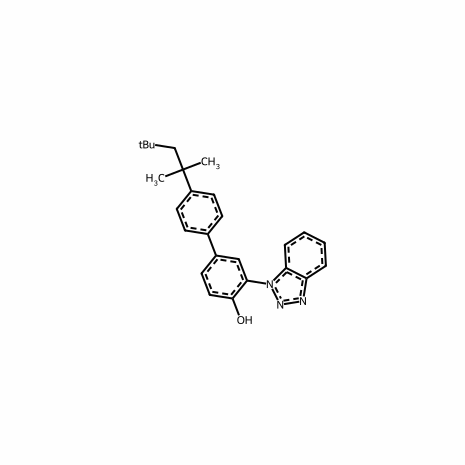 CC(C)(C)CC(C)(C)c1ccc(-c2ccc(O)c(-n3nnc4ccccc43)c2)cc1